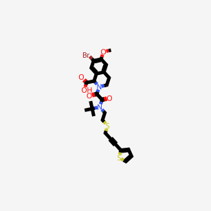 COc1cc2c(cc1Br)C(C(=O)O)N(C(=O)C(=O)N(CCSCC#Cc1cccs1)C(C)(C)C)CC2